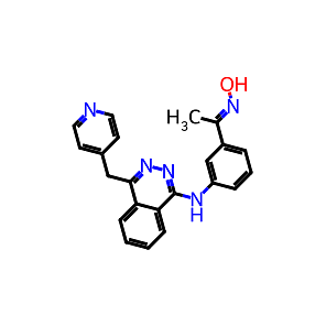 C/C(=N\O)c1cccc(Nc2nnc(Cc3ccncc3)c3ccccc23)c1